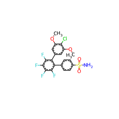 COc1cc(-c2c(F)c(F)c(F)c(F)c2-c2ccc(S(N)(=O)=O)cc2)cc(OC)c1Cl